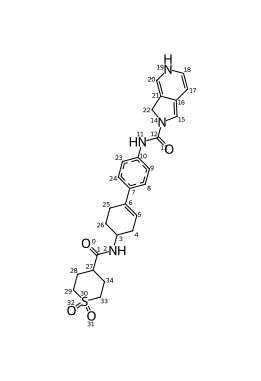 O=C(NC1CC=C(c2ccc(NC(=O)N3C=C4C=CNC=C4C3)cc2)CC1)C1CCS(=O)(=O)CC1